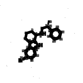 C[C@@H](CNC1CCCc2c1[nH]c1ccc(Br)cc21)c1ccccc1